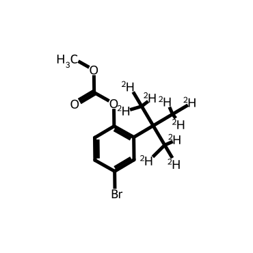 [2H]C([2H])([2H])C(c1cc(Br)ccc1OC(=O)OC)(C([2H])([2H])[2H])C([2H])([2H])[2H]